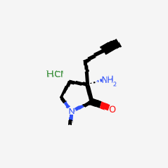 C#CC[C@]1(N)CCN(C)C1=O.Cl